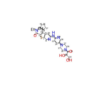 CCN(C)C(=O)c1sc2cnc(Nc3ccc(N4CCN(C(=O)C(O)CO)CC4)cn3)cc2c1C1CCCC1